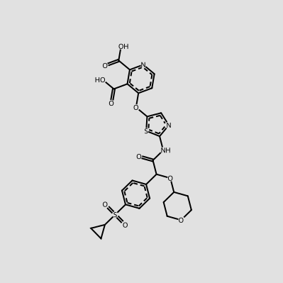 O=C(O)c1nccc(Oc2cnc(NC(=O)C(OC3CCOCC3)c3ccc(S(=O)(=O)C4CC4)cc3)s2)c1C(=O)O